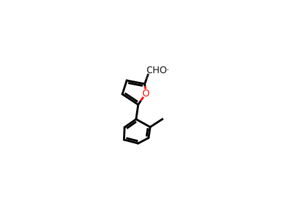 Cc1ccccc1-c1ccc([C]=O)o1